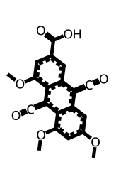 COc1cc(OC)c2c(=C=O)c3c(OC)cc(C(=O)O)cc3c(=C=O)c2c1